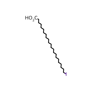 O=C(O)CCCCCCCCCCCCCCCCCCCCCCI